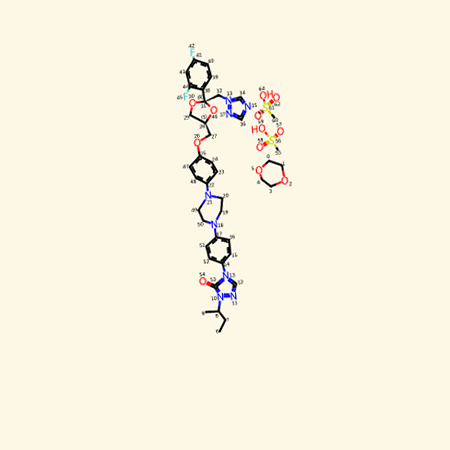 C1COCCO1.CCC(C)n1ncn(-c2ccc(N3CCN(c4ccc(OC[C@H]5CO[C@](Cn6cncn6)(c6ccc(F)cc6F)O5)cc4)CC3)cc2)c1=O.CS(=O)(=O)O.CS(=O)(=O)O